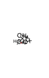 CC(C)(C)c1ccc(CP)c(C(P)(C2CCCCN2)C2CCCCN2)c1C(C)(C)C